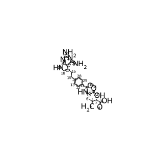 C=C(CC(=O)O)C[C@H](NC(=O)c1ccc(CCc2c[nH]c3nc(N)nc(N)c23)cc1)C(=O)O